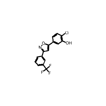 Oc1cc(-c2cc(-c3cccc(C(F)(F)F)c3)no2)ccc1Cl